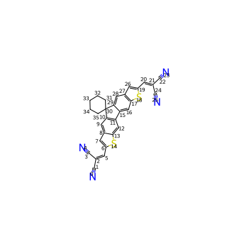 N#CC(C#N)=Cc1cc2cc3c(cc2s1)-c1cc2sc(C=C(C#N)C#N)cc2cc1C31CCCCC1